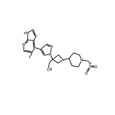 N#CCC1(n2cc(-c3c(F)cnc4[nH]ccc34)cn2)CN(C2CCN(C[SH](=O)=O)CC2)C1